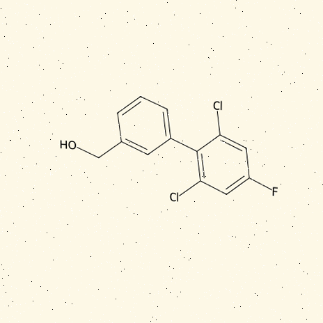 OCc1cccc(-c2c(Cl)cc(F)cc2Cl)c1